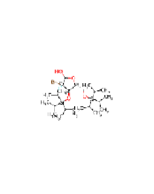 CC(C)[Si](OC[C@H]1OC(O)[C@](F)(Br)[C@@H]1O[Si](C(C)C)(C(C)C)C(C)C)(C(C)C)C(C)C